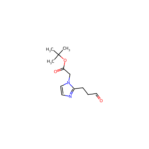 CC(C)(C)OC(=O)Cn1ccnc1CCC=O